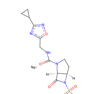 O=C(NCc1nc(C2CC2)no1)N1CC[C@@H]2[C@H]1C(=O)N2S(=O)(=O)[O-].[Na+]